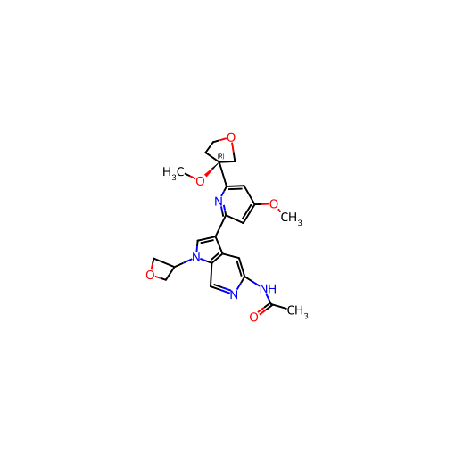 COc1cc(-c2cn(C3COC3)c3cnc(NC(C)=O)cc23)nc([C@]2(OC)CCOC2)c1